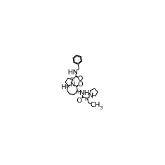 CC[C@@H](C(=O)N[C@H]1CCC[C@H]2CC[C@@H](C(=O)NCc3ccccc3)N2C1=O)N1CCCC1